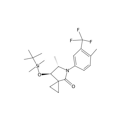 Cc1ccc(N2C(=O)C3(CC3)[C@@H](O[Si](C)(C)C(C)(C)C)[C@@H]2C)cc1C(F)(F)F